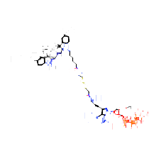 C=CCOC1CC(n2cc(C#CCNC(=O)CCSSCCNC(=O)CCCCC[N+]3=C(/C=C/C=C4/N(CC)c5ccc(S(=O)(=O)O)cc5C4(C)C)C(C)(C)c4cc(S(=O)(=O)O)ccc43)c3c(N)ncnc32)OC1COP(=O)(O)OP(=O)(O)OP(=O)(O)O